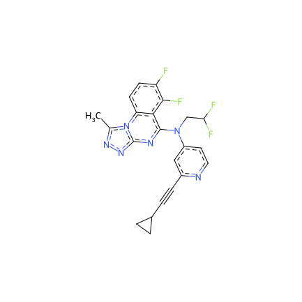 Cc1nnc2nc(N(CC(F)F)c3ccnc(C#CC4CC4)c3)c3c(F)c(F)ccc3n12